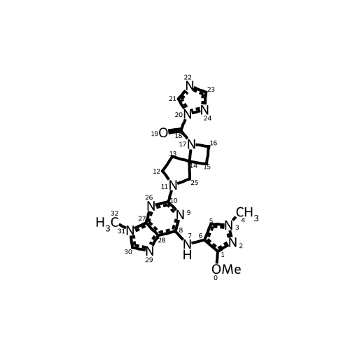 COc1nn(C)cc1Nc1nc(N2CCC3(CCN3C(=O)n3cncn3)C2)nc2c1ncn2C